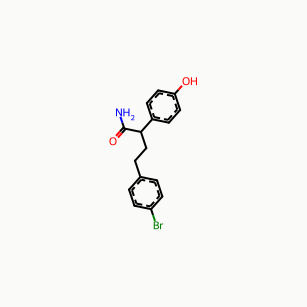 NC(=O)C(CCc1ccc(Br)cc1)c1ccc(O)cc1